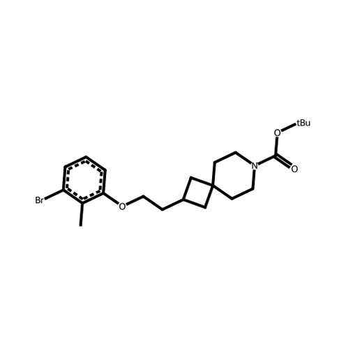 Cc1c(Br)cccc1OCCC1CC2(CCN(C(=O)OC(C)(C)C)CC2)C1